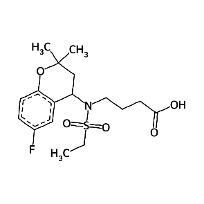 CCS(=O)(=O)N(CCCC(=O)O)C1CC(C)(C)Oc2ccc(F)cc21